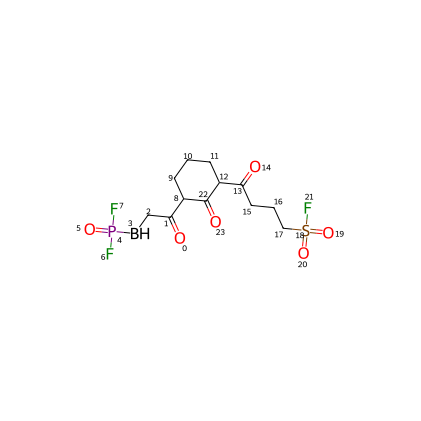 O=C(CBP(=O)(F)F)C1CCCC(C(=O)CCCS(=O)(=O)F)C1=O